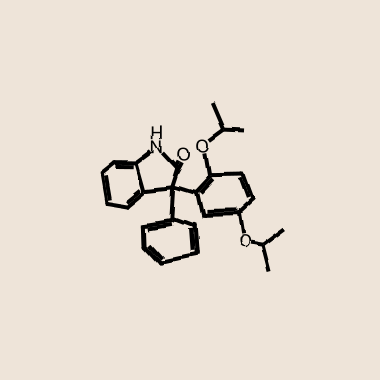 CC(C)Oc1ccc(OC(C)C)c(C2(c3ccccc3)C(=O)Nc3ccccc32)c1